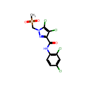 CS(=O)(=O)Cn1nc(C(=O)Nc2ccc(Cl)cc2Cl)c(Cl)c1Cl